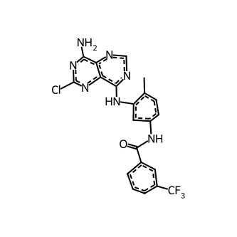 Cc1ccc(NC(=O)c2cccc(C(F)(F)F)c2)cc1Nc1ncnc2c(N)nc(Cl)nc12